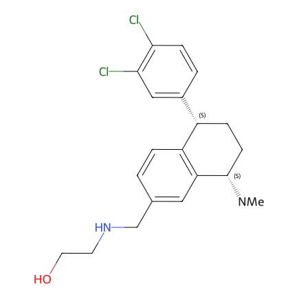 CN[C@H]1CC[C@@H](c2ccc(Cl)c(Cl)c2)c2ccc(CNCCO)cc21